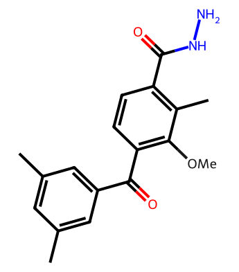 COc1c(C(=O)c2cc(C)cc(C)c2)ccc(C(=O)NN)c1C